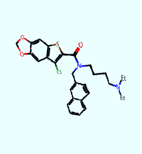 CCN(CC)CCCCN(Cc1ccc2ccccc2c1)C(=O)c1sc2cc3c(cc2c1Cl)OCO3